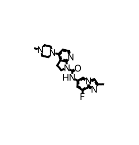 Cc1cn2cc(NC(=O)N3CCc4c(N5CCN(C)CC5)ccnc43)cc(F)c2n1